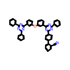 N#Cc1ccccc1-c1ccc(-c2nc(-c3ccccc3)nc(-c3cccc(Oc4cccc(-c5nc(-c6ccccc6)nc(-c6ccccc6)n5)c4)c3)n2)cc1